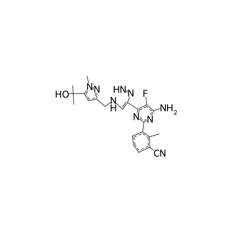 Cc1c(C#N)cccc1-c1nc(N)c(F)c(/C(=C/NCc2cc(C(C)(C)O)n(C)n2)N=N)n1